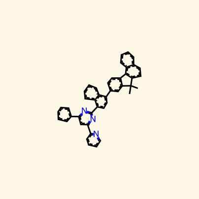 CC1(C)c2cc(-c3ccc(-c4nc(-c5ccccc5)cc(-c5ccccn5)n4)c4ccccc34)ccc2-c2c1ccc1ccccc21